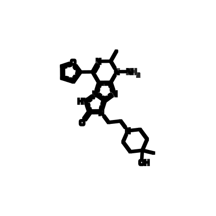 CC1N=C(c2ccco2)c2c(nc3n(CCN4CCC(C)(O)CC4)c(=O)[nH]n23)N1N